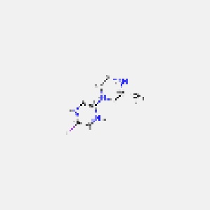 C[C@@H]1CN(c2cnc(I)cn2)CCN1